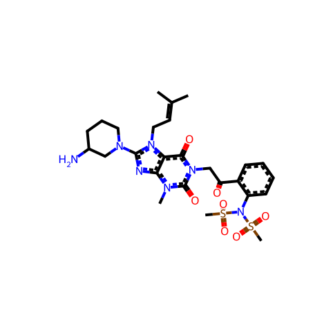 CC(C)=CCn1c(N2CCCC(N)C2)nc2c1c(=O)n(CC(=O)c1ccccc1N(S(C)(=O)=O)S(C)(=O)=O)c(=O)n2C